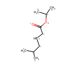 CC(C)CBCC(=O)OC(C)C